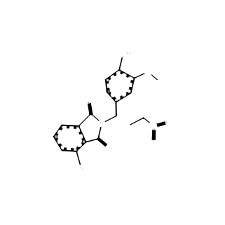 CCOc1cc([C@H](CC[SH](=O)=O)N2C(=O)c3cccc(N)c3C2=O)ccc1OC